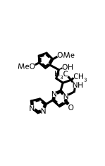 COc1ccc(OC)c([C@@H](O)CC2c3nc(-c4ccncn4)cc(=O)n3CNC2(C)C)c1